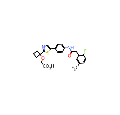 O=C(O)COC1(c2ncc(-c3ccc(NC(=O)Cc4cc(C(F)(F)F)ccc4F)cc3)s2)CCC1